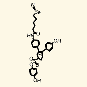 N#C[Se]CCCCCC(=O)Nc1ccc(C2=C(c3ccc(O)cc3)C3CC(S(=O)(=O)Oc4ccc(O)cc4)C2O3)cc1